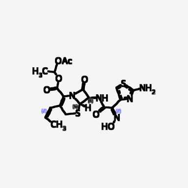 C/C=C\C1=C(C(=O)OC(C)OC(C)=O)N2C(=O)[C@@H](NC(=O)/C(=N\O)c3csc(N)n3)[C@@H]2SC1